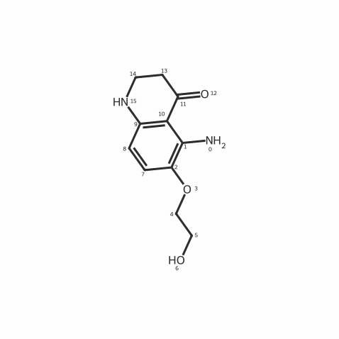 Nc1c(OCCO)ccc2c1C(=O)CCN2